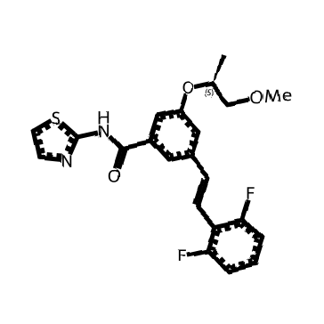 COC[C@H](C)Oc1cc(C=Cc2c(F)cccc2F)cc(C(=O)Nc2nccs2)c1